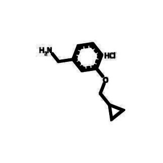 Cl.NCc1cccc(OCC2CC2)c1